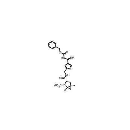 C[C@@]12C[C@@H]1N(C(=O)O)[C@H](C(=O)NCc1cc(C(=N)NC(=O)OCc3ccccc3)cs1)C2